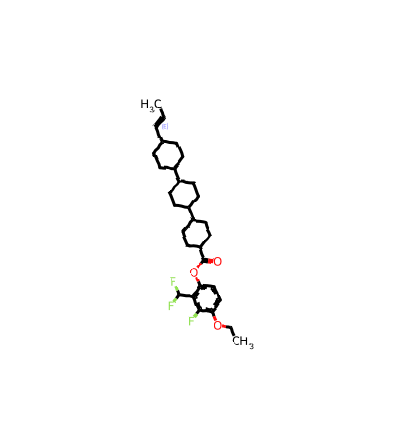 C/C=C/C1CCC(C2CCC(C3CCC(C(=O)Oc4ccc(OCC)c(F)c4C(F)F)CC3)CC2)CC1